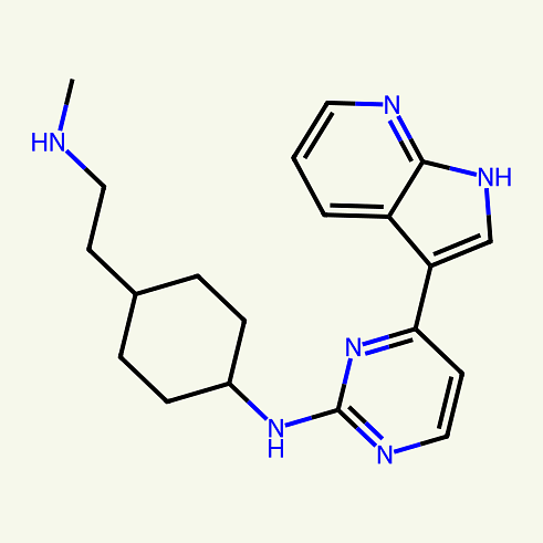 CNCCC1CCC(Nc2nccc(-c3c[nH]c4ncccc34)n2)CC1